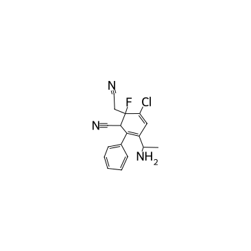 CC(N)C1=C(c2ccccc2)C(C#N)C(F)(CC#N)C(Cl)=C1